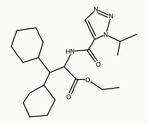 CCOC(=O)C(NC(=O)c1cnnn1C(C)C)C(C1CCCCC1)C1CCCCC1